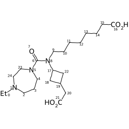 CCN1CCCN(C(=O)N(CCCCCCCC(=O)O)C2CC(CC(=O)O)C2)CC1